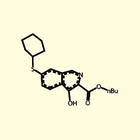 CCCCOC(=O)c1ncc2cc(SC3CCCCC3)ccc2c1O